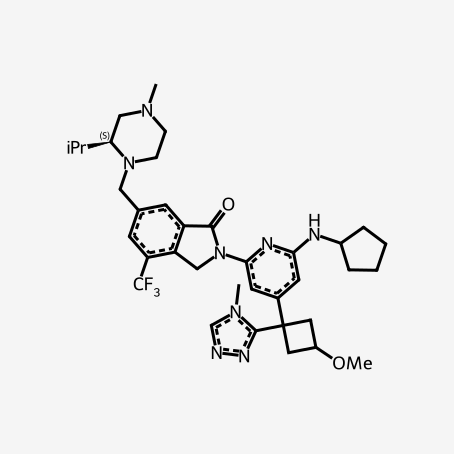 COC1CC(c2cc(NC3CCCC3)nc(N3Cc4c(cc(CN5CCN(C)C[C@@H]5C(C)C)cc4C(F)(F)F)C3=O)c2)(c2nncn2C)C1